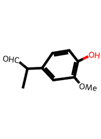 COc1cc(C(C)C=O)ccc1O